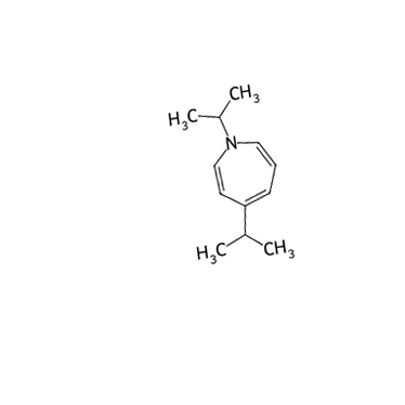 CC(C)C1=CC=CN(C(C)C)C=C1